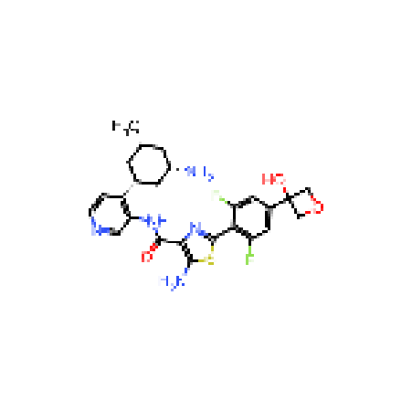 C[C@@H]1C[C@H](N)C[C@H](c2ccncc2NC(=O)c2nc(-c3c(F)cc(C4(O)COC4)cc3F)sc2N)C1